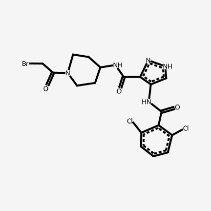 O=C(NC1CCN(C(=O)CBr)CC1)c1n[nH]cc1NC(=O)c1c(Cl)cccc1Cl